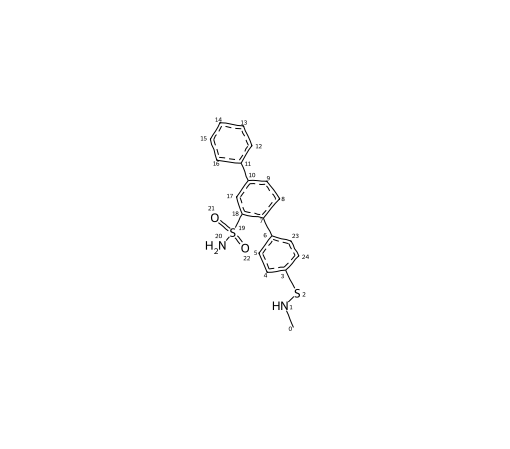 CNSc1ccc(-c2ccc(-c3ccccc3)cc2S(N)(=O)=O)cc1